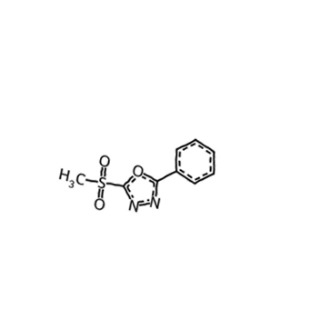 CS(=O)(=O)c1nnc(-c2ccccc2)o1